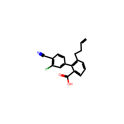 C=CCCc1cccc(C(=O)O)c1-c1ccc(C#N)c(F)c1